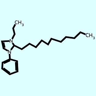 CCCCCCCCCCCC1N(CCC)C=CN1c1ccccc1